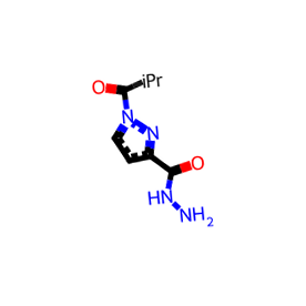 CC(C)C(=O)n1ccc(C(=O)NN)n1